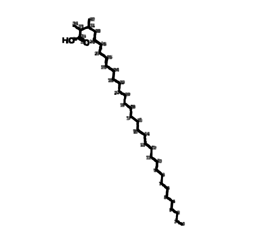 CCCCCCCCCCCCCCCCCCCCCCCCCCCCCCCC(C)C(C)C(=O)O